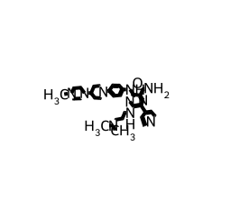 CN(C)CCCNc1nc(Nc2ccc(N3CCC(N4CCN(C)CC4)CC3)cc2)c(C(N)=O)nc1-c1ccncc1